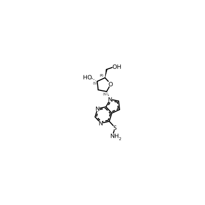 NSc1ncnc2c1ccn2[C@@H]1C[C@H](O)[C@@H](CO)O1